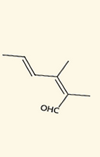 CC=CC(C)=C(C)C=O